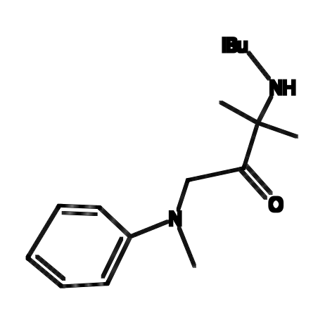 CCC(C)NC(C)(C)C(=O)CN(C)c1ccccc1